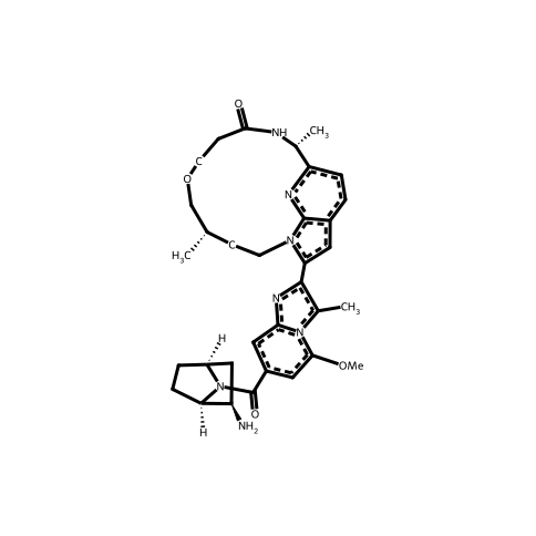 COc1cc(C(=O)N2[C@H]3CC[C@@H]2[C@H](N)C3)cc2nc(-c3cc4ccc5nc4n3CC[C@H](C)COCCC(=O)N[C@@H]5C)c(C)n12